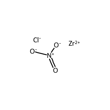 O=[N+]([O-])[O-].[Cl-].[Zr+2]